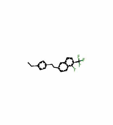 CCc1ccc(CCc2ccc3c(F)c(C(F)(F)F)ccc3c2)cc1